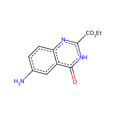 CCOC(=O)c1nc2ccc(N)cc2c(=O)[nH]1